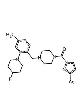 CC(=O)c1ccn(C(=O)N2CCN(Cc3ccc(C)cc3N3CCC(F)CC3)CC2)n1